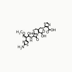 CO/N=C(\C(=O)NC1C(=O)N2C(C(=O)O)=C(CSc3scnc3C(=O)O)CS[C@@H]12)c1csc(N)n1